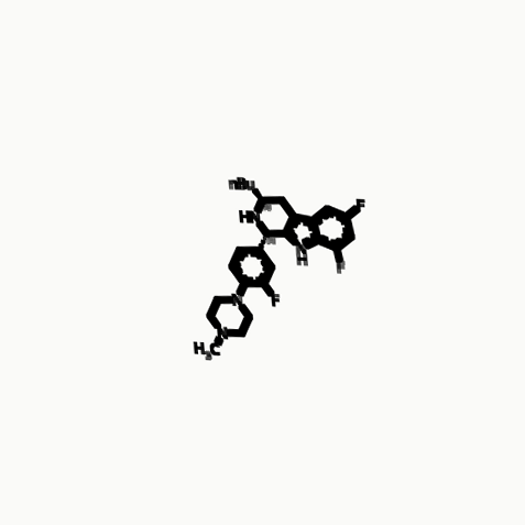 CCCC[C@H]1Cc2c([nH]c3c(F)cc(F)cc23)[C@H](c2ccc(N3CCN(C)CC3)c(F)c2)N1